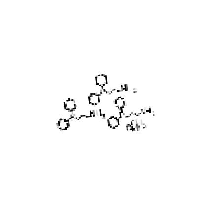 C=O.NCCCP(c1ccccc1)c1ccccc1.NCCCP(c1ccccc1)c1ccccc1.NCCCP(c1ccccc1)c1ccccc1.[Rh]